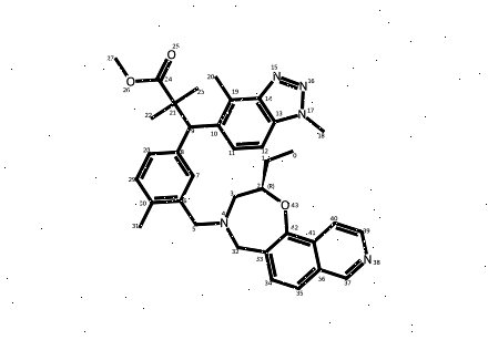 CC[C@@H]1CN(Cc2cc(C(c3ccc4c(nnn4C)c3C)C(C)(C)C(=O)OC)ccc2C)Cc2ccc3cnccc3c2O1